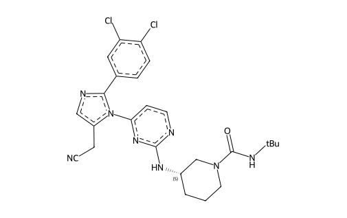 CC(C)(C)NC(=O)N1CCC[C@H](Nc2nccc(-n3c(CC#N)cnc3-c3ccc(Cl)c(Cl)c3)n2)C1